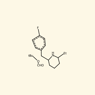 CC(C)(C)OC=O.CCC1CCCC(Cc2ccc(F)cc2)N1